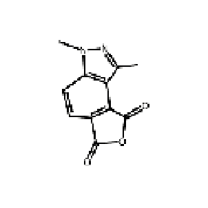 Cc1nn(C)c2ccc3c(c12)C(=O)OC3=O